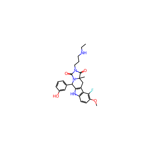 CCNCCCN1C(=O)N2C(c3cccc(O)c3)c3[nH]c4ccc(OC)c(F)c4c3CC2(C)C1=O